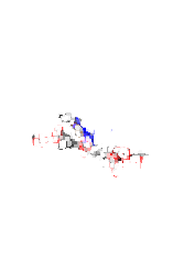 C=C(C)C(=O)OCCCOc1ccc(C(=O)Oc2ccc(-c3ccc(C(O)OCCCCC)cc3)cc2/C=N/Nc2nc3ccccc3s2)cc1